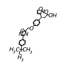 CC(C)(C)c1ccc(-c2noc(COc3ccc([C@H](CC(=O)O)c4ccon4)cc3)n2)cc1